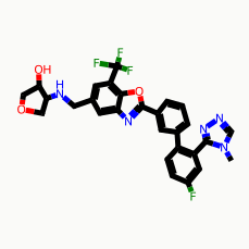 Cn1cnnc1-c1cc(F)ccc1-c1cccc(-c2nc3cc(CNC4COCC4O)cc(C(F)(F)F)c3o2)c1